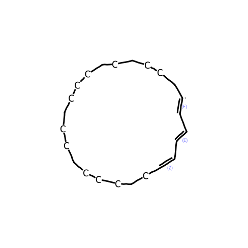 [C]1=C/C=C/C=C\CCCCCCCCCCCCCCCCCC/1